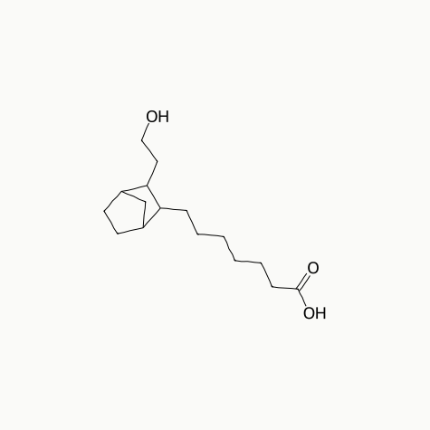 O=C(O)CCCCCCC1C2CCC(C2)C1CCO